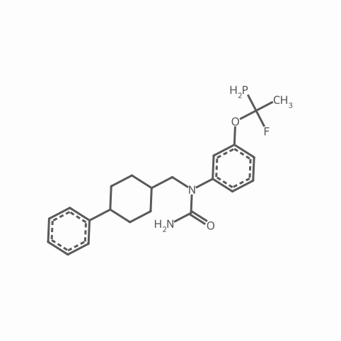 CC(F)(P)Oc1cccc(N(CC2CCC(c3ccccc3)CC2)C(N)=O)c1